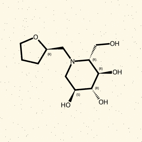 OC[C@@H]1[C@@H](O)[C@H](O)[C@@H](O)CN1C[C@H]1CCCO1